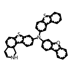 C1=Cc2ccc3sc4cc(N(c5ccc6c(c5)oc5ccccc56)c5ccc6sc7ccccc7c6c5)ccc4c3c2CN1